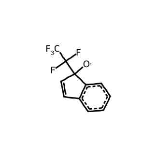 [O]C1(C(F)(F)C(F)(F)F)C=Cc2ccccc21